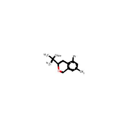 COC(C)(C)C1Cc2c(cc(C)cc2C(C)C)CO1